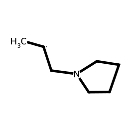 C[CH]CN1CCCC1